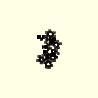 CCC(NCCc1c(C)c2ccccc2n1S(=O)(=O)c1ccccc1)c1ncn(C(c2ccccc2)(c2ccccc2)c2ccccc2)c1C